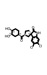 O=C([C@@H]1CC[C@H](O)[C@@H](O)C1)N1CC[C@]2(C1)C(=O)Nc1cc(Cl)c(Cl)cc12